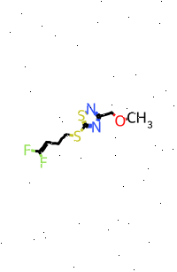 COCc1nsc(SCCC=C(F)F)n1